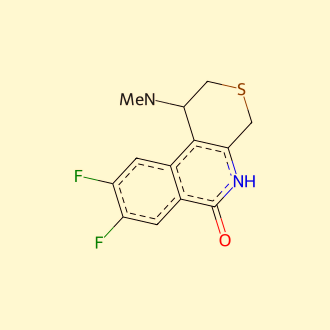 CNC1CSCc2[nH]c(=O)c3cc(F)c(F)cc3c21